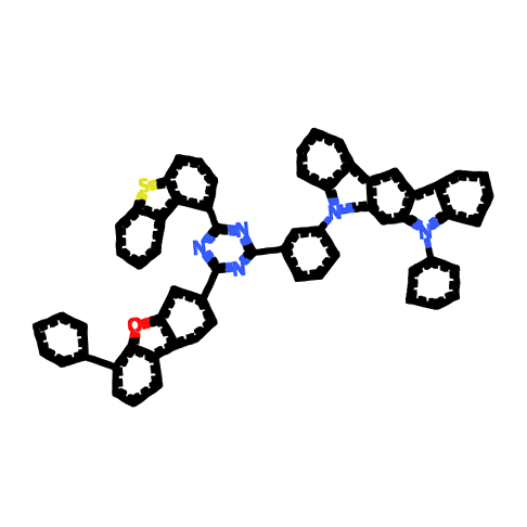 c1ccc(-c2cccc3c2oc2cc(-c4nc(-c5cccc(-n6c7ccccc7c7cc8c9ccccc9n(-c9ccccc9)c8cc76)c5)nc(-c5cccc6sc7ccccc7c56)n4)ccc23)cc1